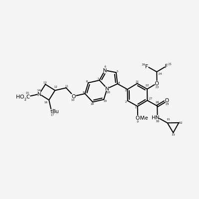 COc1cc(-c2cnc3cc(OCC4CN(C(=O)O)C4C(C)(C)C)ccn23)cc(OC(F)F)c1C(=O)NC1CC1